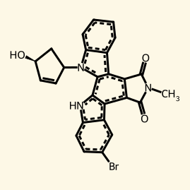 CN1C(=O)c2c(c3c4ccccc4n(C4C=C[C@@H](O)C4)c3c3[nH]c4ccc(Br)cc4c23)C1=O